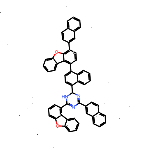 c1ccc2cc(C3=NC(c4ccc(-c5ccc(-c6ccc7ccccc7c6)c6oc7ccccc7c56)c5ccccc45)NC(c4cccc5oc6ccccc6c45)=N3)ccc2c1